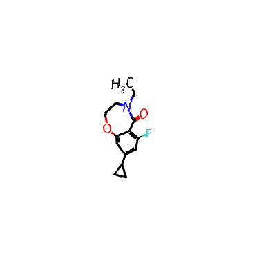 CCN1CCOc2cc(C3CC3)cc(F)c2C1=O